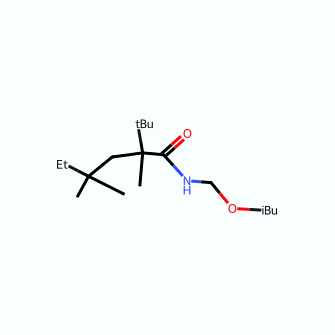 CCC(C)OCNC(=O)C(C)(CC(C)(C)CC)C(C)(C)C